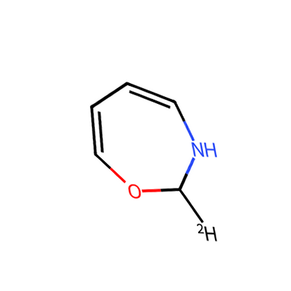 [2H]C1NC=CC=CO1